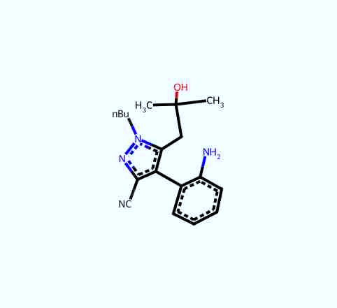 CCCCn1nc(C#N)c(-c2ccccc2N)c1CC(C)(C)O